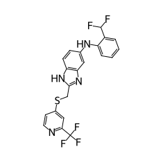 FC(F)c1ccccc1Nc1ccc2[nH]c(CSc3ccnc(C(F)(F)F)c3)nc2c1